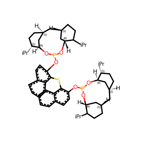 CC(C)C1CC[C@H]2C[C@@H]3CC[C@@H](C(C)C)[C@@H](C3)OP(Oc3ccc4ccccc4c3Sc3c(OP4O[C@@H]5C[C@@H](CCC5C(C)C)C[C@@H]5CC[C@@H](C(C)C)[C@@H](C5)O4)ccc4ccccc34)O[C@@H]1C2